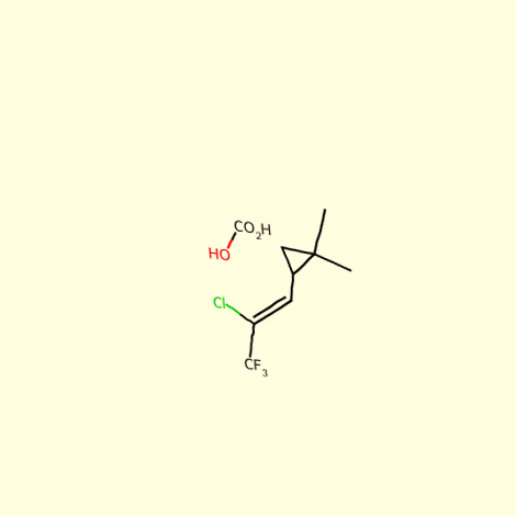 CC1(C)CC1C=C(Cl)C(F)(F)F.O=C(O)O